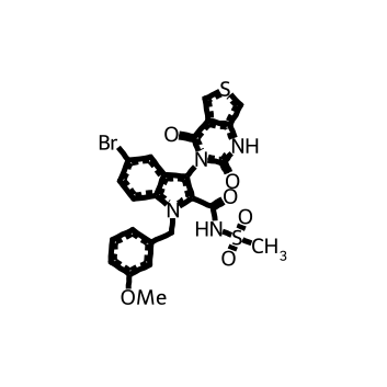 COc1cccc(Cn2c(C(=O)NS(C)(=O)=O)c(-n3c(=O)[nH]c4cscc4c3=O)c3cc(Br)ccc32)c1